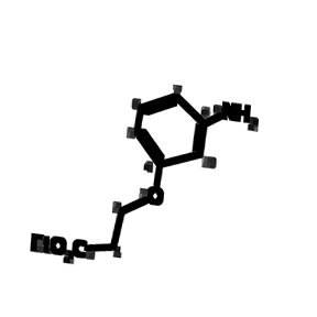 CCOC(=O)CCOc1cccc(N)c1